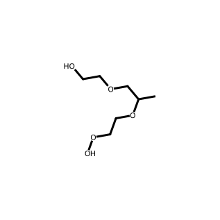 CC(COCCO)OCCOO